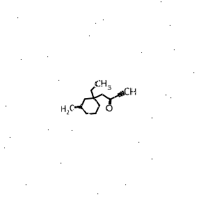 C#CC(=O)CC1(CC)CCCC(=C)C1